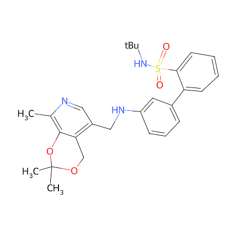 Cc1ncc(CNc2cccc(-c3ccccc3S(=O)(=O)NC(C)(C)C)c2)c2c1OC(C)(C)OC2